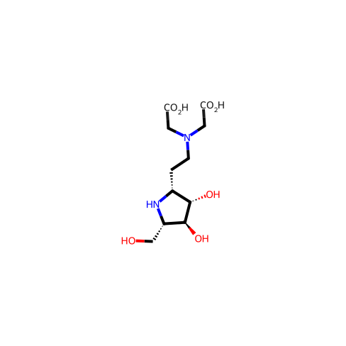 O=C(O)CN(CC[C@H]1N[C@@H](CO)[C@H](O)[C@H]1O)CC(=O)O